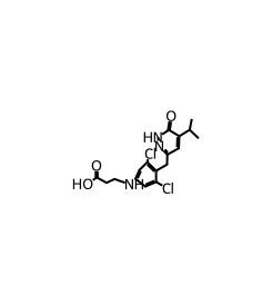 CC(C)c1cc(Cc2c(Cl)cc(NCCC(=O)O)cc2Cl)n[nH]c1=O